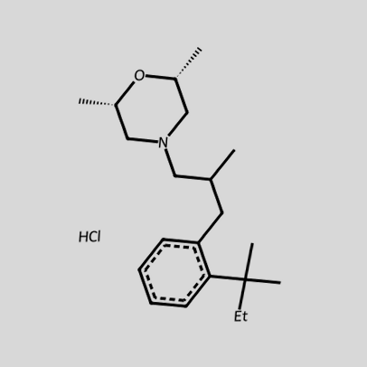 CCC(C)(C)c1ccccc1CC(C)CN1C[C@@H](C)O[C@@H](C)C1.Cl